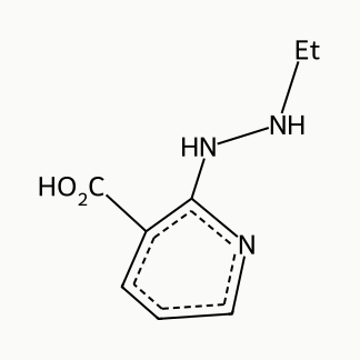 CCNNc1ncccc1C(=O)O